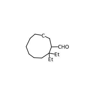 CCC1(CC)CCCCCCCCC1C=O